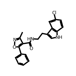 Cc1noc(-c2ccccc2)c1C(=O)NCCc1c[nH]c2ccc(Cl)cc12